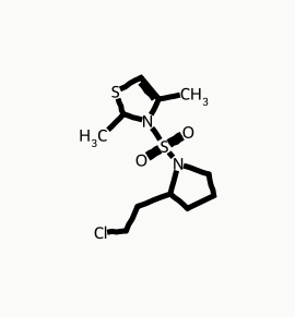 CC1=CSC(C)N1S(=O)(=O)N1CCCC1CCCl